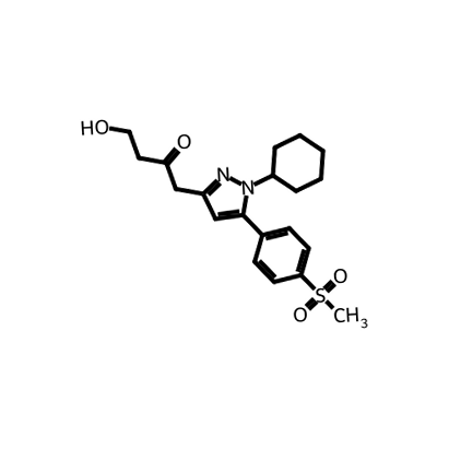 CS(=O)(=O)c1ccc(-c2cc(CC(=O)CCO)nn2C2CCCCC2)cc1